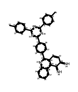 Cc1ccc(-c2nc(-c3ccc(C)cc3)nc(-c3ccc(-c4nc5ccccc5c5c4C=CC(=N)C5=N)cc3)n2)cc1